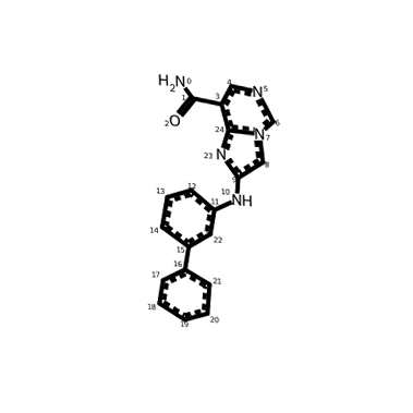 NC(=O)c1cncn2cc(Nc3cccc(-c4ccccc4)c3)nc12